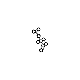 c1ccc2c(c1)oc1c3ccccc3c(-c3c4ccccc4c(-c4ccc(-n5c6ccccc6c6ccccc65)cc4)c4ccccc34)cc21